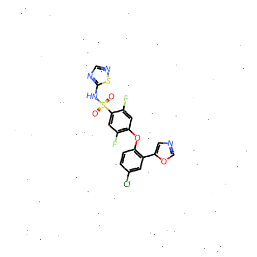 O=S(=O)(Nc1ncns1)c1cc(F)c(Oc2ccc(Cl)cc2-c2cnco2)cc1F